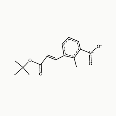 Cc1c(C=CC(=O)OC(C)(C)C)cccc1[N+](=O)[O-]